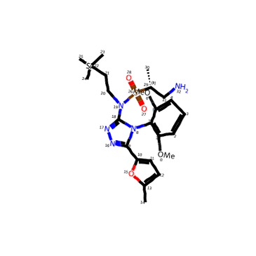 COc1cccc(OC)c1-n1c(-c2ccc(C)o2)nnc1N(CC[Si](C)(C)C)S(=O)(=O)[C@H](C)CN